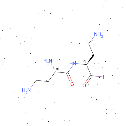 NCC[C@H](NC(=O)[C@@H](N)CCN)C(=O)I